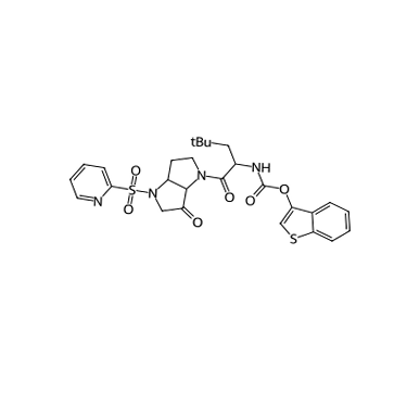 CC(C)(C)CC(NC(=O)Oc1csc2ccccc12)C(=O)N1CCC2C1C(=O)CN2S(=O)(=O)c1ccccn1